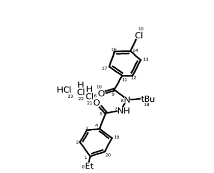 CCc1ccc(C(=O)NN(C(=O)c2ccc(Cl)cc2)C(C)(C)C)cc1.Cl.Cl.Cl